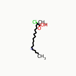 CCCC/C=C\CCCCCCCCCCC(C)(Cl)C(=O)O